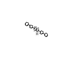 C1=CCCC(C2=CC=C(c3nc4c(s3)NC(C3=CC=C(C5=CC=CCC5)CC3)S4)CC2)=C1